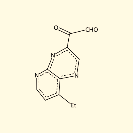 CCc1ccnc2nc(C(=O)C=O)cnc12